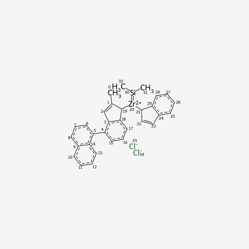 CC1=Cc2c(-c3cccc4ccccc34)cccc2[CH]1[Zr+2]([CH]1C=Cc2ccccc21)=[Si](C)C.[Cl-].[Cl-]